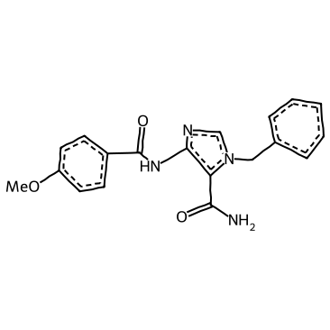 COc1ccc(C(=O)Nc2ncn(Cc3ccccc3)c2C(N)=O)cc1